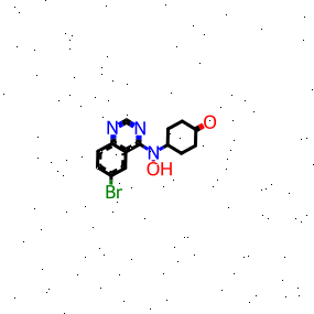 O=C1CCC(N(O)c2ncnc3ccc(Br)cc23)CC1